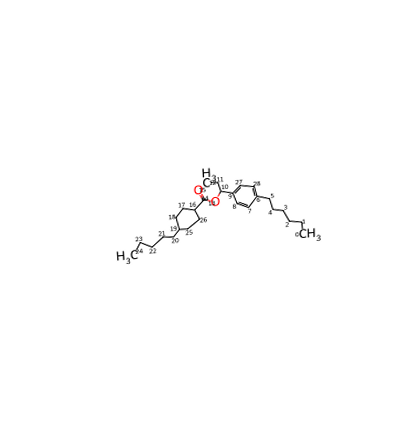 CCCCCCc1ccc(C(CC)OC(=O)C2CCC(CCCCC)CC2)cc1